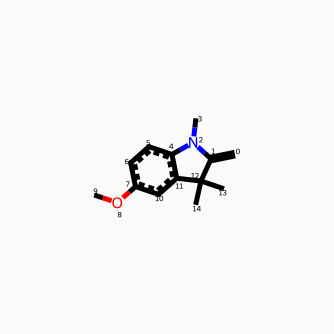 C=C1N(C)c2ccc(OC)cc2C1(C)C